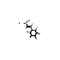 C[S+]([O-])C(F)=C(F)c1c(F)c(F)c(F)c(F)c1F